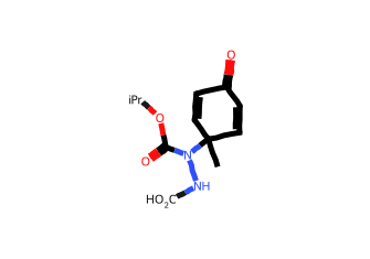 CC(C)OC(=O)N(NC(=O)O)C1(C)C=CC(=O)C=C1